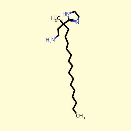 CCCCCCCCCCCCCCCC(C)(CCN)C1=NCCN1